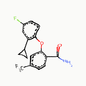 NC(=O)c1ccc(C(F)(F)F)cc1Oc1ccc(F)cc1C1CC1